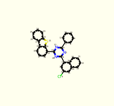 Clc1cc(-c2nc(-c3ccccc3)nc(-c3cccc4c3sc3ccccc34)n2)c2ccccc2c1